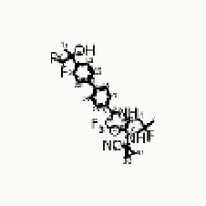 CC(C)(F)C[C@H](NC(c1ccc(-c2ccc(C(C)(O)C(F)F)cc2)cc1)C(F)(F)F)C(=O)NC1(C#N)CC1